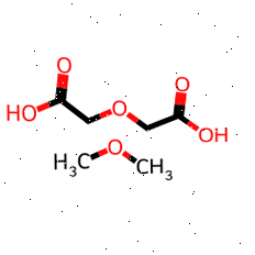 COC.O=C(O)COCC(=O)O